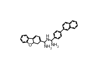 NC(NC(N)c1ccc(-c2ccc3ccccc3c2)cc1)C1=CC=C2c3ccccc3OC2C1